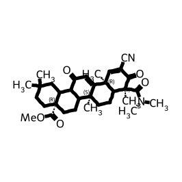 COC(=O)[C@@]12CCC3C(C(=O)C=C4[C@@]5(C)C=C(C#N)C(=O)[C@@](C)(C(=O)N(C)C)C5CC[C@]43C)C1CC(C)(C)CC2